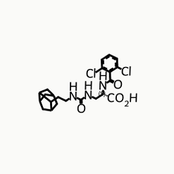 O=C(NCCC1C2CC3CC(C2)C1C3)NC[C@H](NC(=O)c1c(Cl)cccc1Cl)C(=O)O